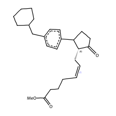 COC(=O)CCC/C=C\C[C@H]1C(=O)CCC1c1ccc(CC2CCCCC2)cc1